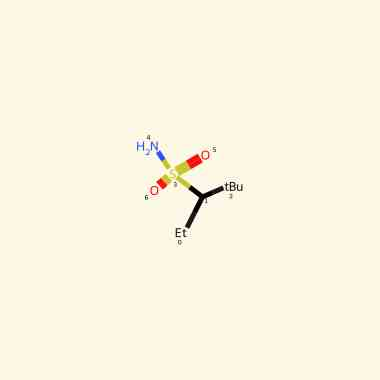 CCC(C(C)(C)C)S(N)(=O)=O